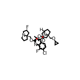 CC(C)(C)OC(=O)N1[C@H]2CC[C@]1(COC1CC1)CN(c1nc(OC[C@@]34CCCN3C[C@H](F)C4)nc3c(F)c(Cl)ccc13)C2